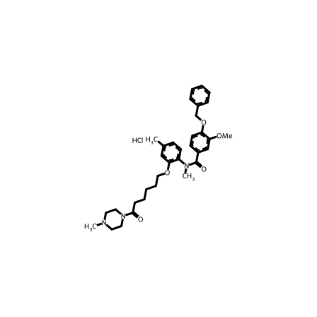 COc1cc(C(=O)N(C)c2ccc(C)cc2OCCCCCC(=O)N2CCN(C)CC2)ccc1OCc1ccccc1.Cl